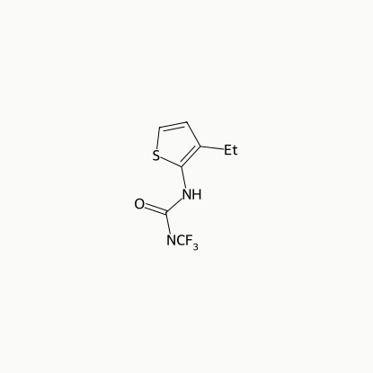 CCc1ccsc1NC(=O)NC(F)(F)F